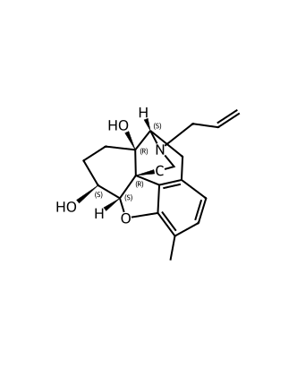 C=CCN1CC[C@@]23c4c5ccc(C)c4O[C@@H]2[C@@H](O)CC[C@]3(O)[C@@H]1C5